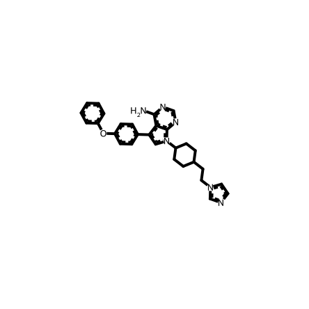 Nc1ncnc2c1c(-c1ccc(Oc3ccccc3)cc1)cn2C1CCC(CCn2ccnc2)CC1